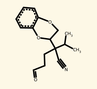 CC(C)C(C#N)(CCC=O)C1COc2ccccc2O1